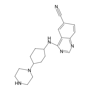 N#Cc1ccc2ncnc(NC3CCC(N4CCNCC4)CC3)c2c1